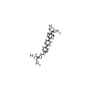 CC(C)OCCN1CCC(N2CCC(c3cnc(C(C)C)nc3)CC2)CC1